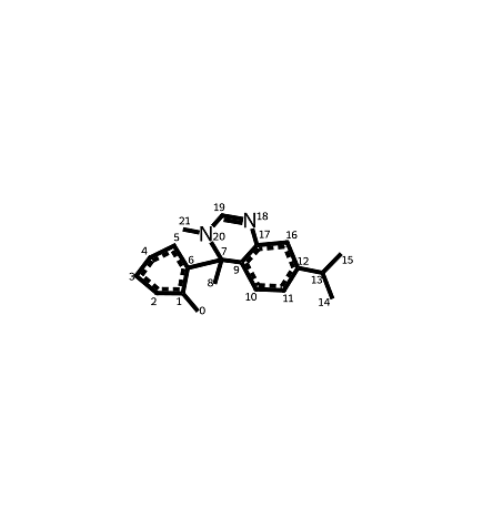 Cc1ccccc1C1(C)c2ccc(C(C)C)cc2N=CN1C